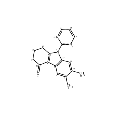 Cc1cc2c3c(n(-c4ncccn4)c2cc1C)CCCC3=O